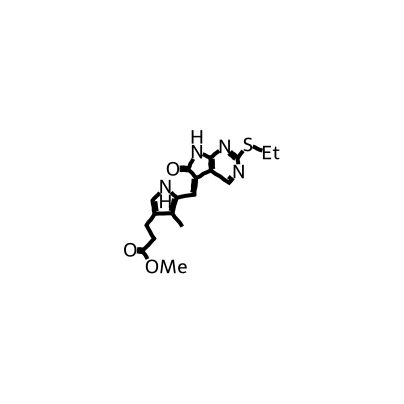 CCSc1ncc2c(n1)NC(=O)C2=Cc1[nH]cc(CCC(=O)OC)c1C